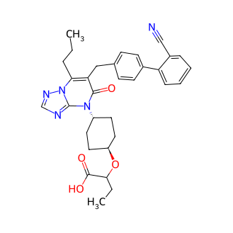 CCCc1c(Cc2ccc(-c3ccccc3C#N)cc2)c(=O)n([C@H]2CC[C@H](OC(CC)C(=O)O)CC2)c2ncnn12